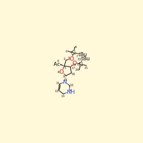 CC(=O)[C@]1(CO[Si](C)(C)C(C)(C)C)O[C@@H](N2C=CCNC2)C[C@@H]1O[Si](C)(C)C(C)(C)C